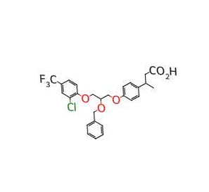 CC(CC(=O)O)c1ccc(OCC(COc2ccc(C(F)(F)F)cc2Cl)OCc2ccccc2)cc1